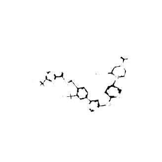 CC1CN(C(=O)O)CCN1c1ccc(Nc2cc(-c3ccc([C@@H](C)NC(=O)c4nc(C(C)(C)C)no4)c(C(F)(F)F)c3)ncn2)nc1